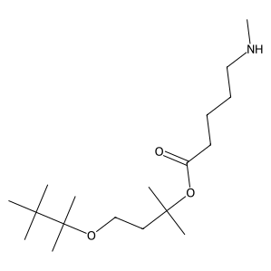 CNCCCCC(=O)OC(C)(C)CCOC(C)(C)C(C)(C)C